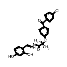 CC(C)(Oc1ccc(C(=O)c2ccc(Cl)cc2)cc1)C(=O)N/N=C/c1ccc(O)cc1O